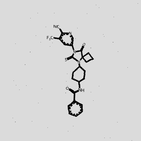 N#Cc1ncc(N2C(=O)C3(CCC3)N(C3CCC(NC(=O)c4ccccc4)CC3)C2=S)cc1C(F)(F)F